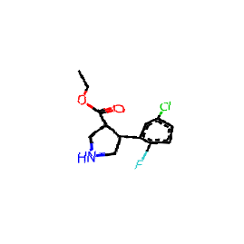 CCOC(=O)C1CNCC1c1cc(Cl)ccc1F